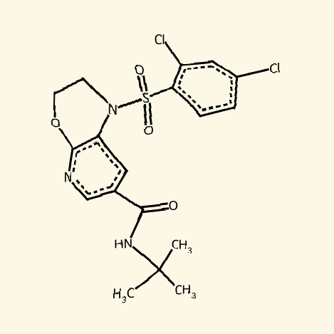 CC(C)(C)NC(=O)c1cnc2c(c1)N(S(=O)(=O)c1ccc(Cl)cc1Cl)CCO2